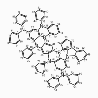 c1ccc(N(c2ccccc2)c2cc3c4c(c2)N(c2ccccc2)c2cc5c(cc2B4c2ccccc2N3c2ccccc2)B2c3c(cc(N(c4ccccc4)c4ccccc4)cc3-n3c4ccccc4c4cccc2c43)N5c2ccccc2)cc1